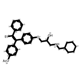 CCC(=C(c1ccc(OCC(O)CNCC2CCCCC2)cc1)c1ccc(OC(C)=O)cc1)c1ccccc1